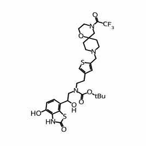 CC(C)(C)OC(=O)N(CCc1csc(CN2CCC3(CC2)CN(C(=O)C(F)(F)F)CCO3)c1)CC(O)c1ccc(O)c2[nH]c(=O)sc12